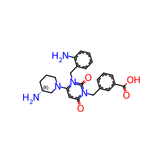 Nc1ccccc1Cn1c(N2CCC[C@@H](N)C2)cc(=O)n(Cc2cccc(C(=O)O)c2)c1=O